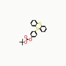 CC(C)(C)OC(=O)Oc1ccc([S+]2c3ccccc3Sc3ccccc32)cc1